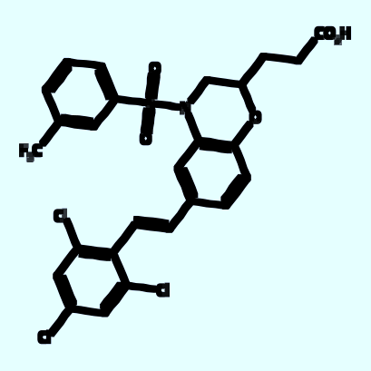 O=C(O)CCC1CN(S(=O)(=O)c2cccc(C(F)(F)F)c2)c2cc(C=Cc3c(Cl)cc(Cl)cc3Cl)ccc2O1